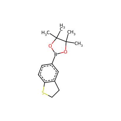 CC1(C)OB(c2ccc3c(c2)CCS3)OC1(C)C